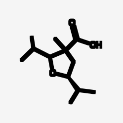 CC(C)C1O[C@H](C(C)C)CC1(C)C(=O)O